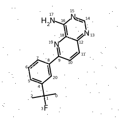 CC(C)(F)c1cccc(-c2ccc3ncnc(N)c3n2)c1